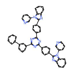 c1ccc(-c2cccc(-c3nc(-c4ccc(-c5nc6ccccc6n5-c5cccnc5)cc4)nc(-c4ccc(-c5nc6ccccc6n5-c5cccnc5)cc4)n3)c2)cc1